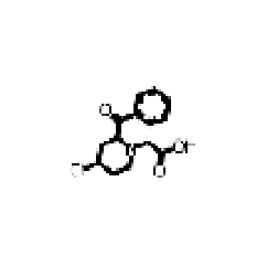 O=C(O)CN1CCC(Cl)CC1C(=O)c1ccccc1